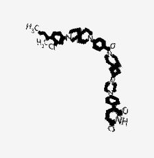 C=C(CCC)c1ccc(N2CCC3(CCN(c4ccc(C(=O)N5CCC6(CC5)CC(N5CCN(c7ccc(C8CCC(=O)NC8=O)cc7)CC5)C6)cc4)CC3)C2)cc1Cl